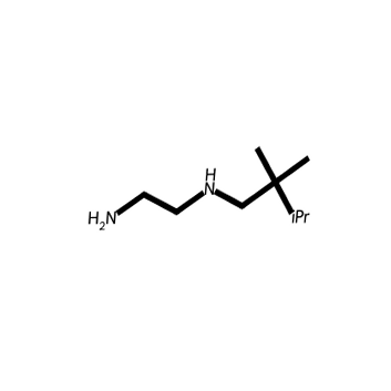 CC(C)C(C)(C)CNCCN